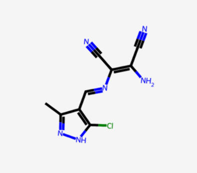 Cc1n[nH]c(Cl)c1C=NC(C#N)=C(N)C#N